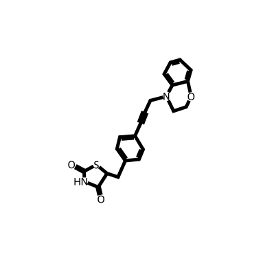 O=C1NC(=O)C(Cc2ccc(C#CCN3CCOc4ccccc43)cc2)S1